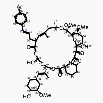 CO[C@H]1C[C@@H](C)C/C(C)=C/C(C/C=C/c2ccc(C(C)=O)cc2)C(=O)C[C@H](O)C[C@@H](/C(C)=C/[C@@H]2CC[C@@H](O)[C@H](OC)C2)OC(=O)[C@@H]2CCCCN2C(=O)C(=O)[C@]2(O)O[C@H]1[C@@H](OC)C[C@H]2C